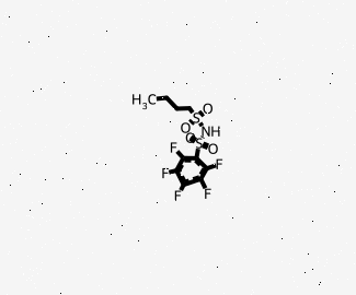 CCCCS(=O)(=O)NS(=O)(=O)c1c(F)c(F)c(F)c(F)c1F